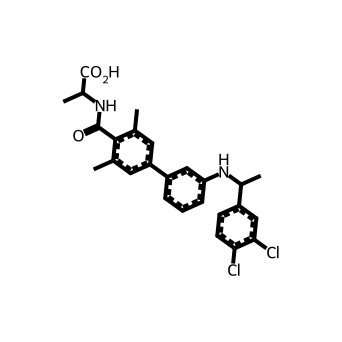 Cc1cc(-c2cccc(NC(C)c3ccc(Cl)c(Cl)c3)c2)cc(C)c1C(=O)NC(C)C(=O)O